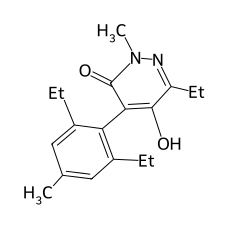 CCc1cc(C)cc(CC)c1-c1c(O)c(CC)nn(C)c1=O